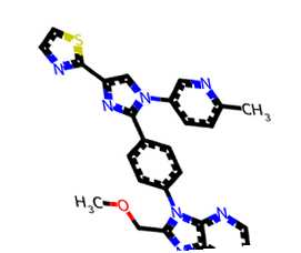 COCc1nc2cccnc2n1-c1ccc(-c2nc(-c3nccs3)cn2-c2ccc(C)nc2)cc1